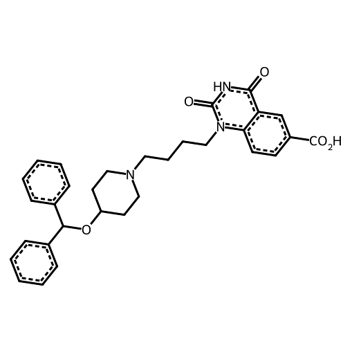 O=C(O)c1ccc2c(c1)c(=O)[nH]c(=O)n2CCCCN1CCC(OC(c2ccccc2)c2ccccc2)CC1